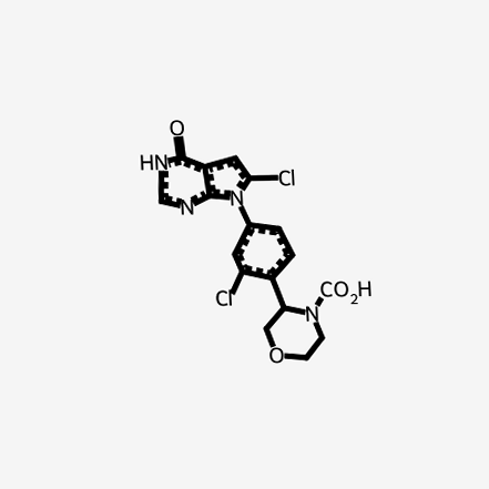 O=C(O)N1CCOCC1c1ccc(-n2c(Cl)cc3c(=O)[nH]cnc32)cc1Cl